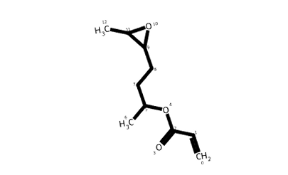 C=CC(=O)OC(C)CCC1OC1C